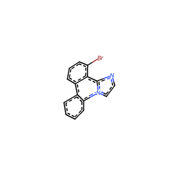 Brc1cccc2c3ccccc3n3ccnc3c12